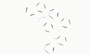 C=C(C)C=CC1[C@H](C)c2ccc(N(c3cccc(C)c3)c3cccc4c3sc3ccccc34)cc2C1(c1ccccc1)c1ccccc1